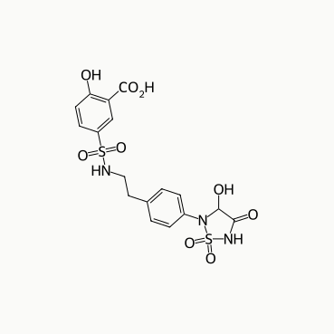 O=C(O)c1cc(S(=O)(=O)NCCc2ccc(N3C(O)C(=O)NS3(=O)=O)cc2)ccc1O